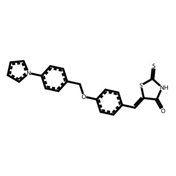 O=C1NC(=S)S/C1=C\c1ccc(OCc2ccc(-n3cccc3)cc2)cc1